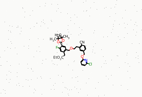 CCOC(=O)Cc1cc(F)c(B2OC(C)(C)C(C)(C)O2)cc1COCCc1cc(COc2cccc(Cl)n2)ccc1C#N